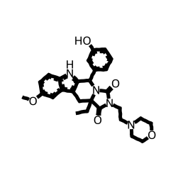 CCC12Cc3c([nH]c4ccc(OC)cc34)C(c3cccc(O)c3)N1C(=O)N(CCN1CCOCC1)C2=O